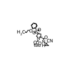 C=CCOc1ccccc1S(=O)(=O)[C@@H]1C[C@@H](C(=O)NC2(C#N)CC2)N(C(=O)OC(C)(C)C)C1